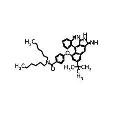 CCCCCCN(CCCCCC)C(=O)c1ccc(Oc2cc(C(C)(C)C)cc3cc4c(c(-c5ccccc5F)c23)C(=N)NC4=N)cc1